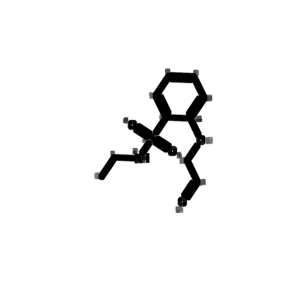 CCNS(=O)(=O)c1ccccc1OCC=O